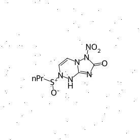 CCC[S+]([O-])N1C=Cn2c(nc(=O)n2[N+](=O)[O-])N1